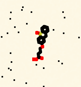 O=C(O)CCCOc1ccc2c(c1)Cc1ccccc1[S+]2[O-]